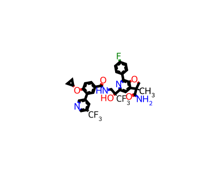 C[C@]1(C(N)=O)COc2c1cc([C@@](O)(CNC(=O)c1ccc(OC3CC3)c(-c3cncc(C(F)(F)F)c3)c1)C(F)(F)F)nc2-c1ccc(F)cc1